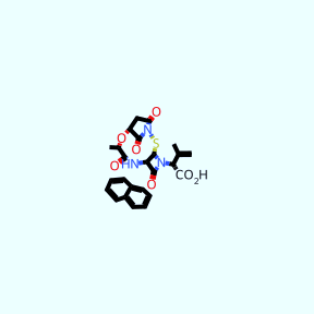 C=C(C)C(C(=O)O)N1C(=O)C2NC(=O)C(C)OC3CC(=O)N(SC21)C3=O.c1ccc2ccccc2c1